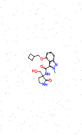 Cn1nc2cccc(OCC3CCC3)c2c1C(=O)NC1(CO)CCNC1=O